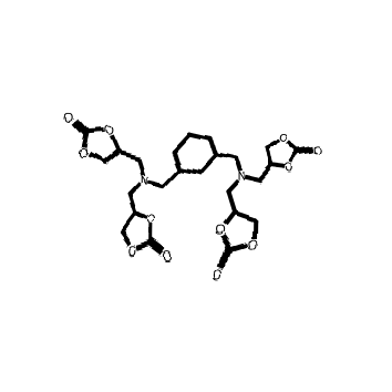 O=C1OCC(CN(CC2CCCC(CN(CC3COC(=O)O3)CC3COC(=O)O3)C2)CC2COC(=O)O2)O1